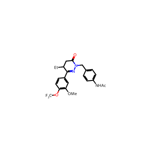 CCC1CC(=O)N(Cc2ccc(NC(C)=O)cc2)N=C1c1ccc(OC(F)(F)F)c(OC)c1